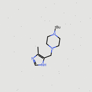 Cc1nc[nH]c1CN1CCN(C(C)(C)C)CC1